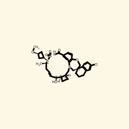 CO[C@H]1C[C@@H](N2[C@H](C)C/C=C/[C@H](O)[C@@H]3CC[C@H]3CN3C[C@@]4(CCCc5cc(Cl)ccc54)COc4ccc(cc43)C(=O)NS2(=O)=O)C1